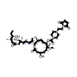 CC[C@H](O)[C@@H](C)[C@H]1O[C@@H]1C[C@@](C)(O)/C=C/C=C(\C)[C@H]1OC(=O)C[C@H](O)CC[C@@](C)(OC)[C@H](OC(=O)N2CCN(CCN3C(=O)C=CC3=O)CC2)/C=C/[C@@H]1C